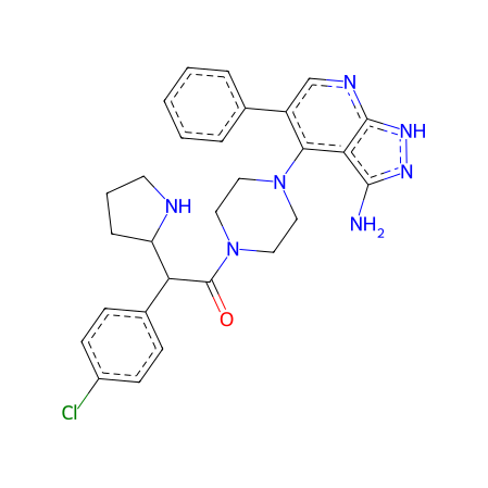 Nc1n[nH]c2ncc(-c3ccccc3)c(N3CCN(C(=O)C(c4ccc(Cl)cc4)C4CCCN4)CC3)c12